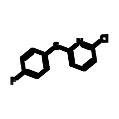 Fc1ccc(Sc2cccc(Cl)n2)cc1